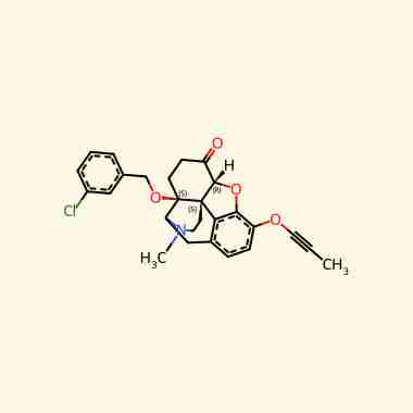 CC#COc1ccc2c3c1O[C@H]1C(=O)CC[C@@]4(OCc5cccc(Cl)c5)C(C2)N(C)CC[C@]314